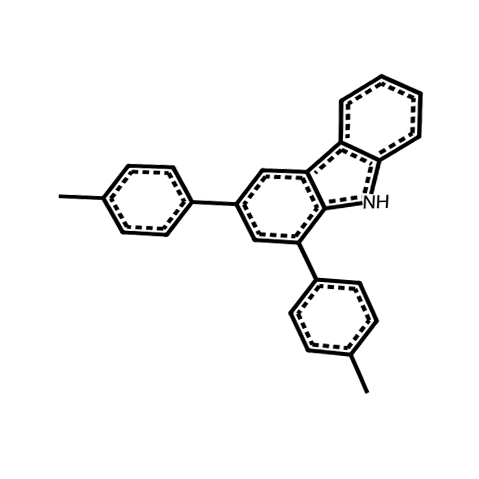 Cc1ccc(-c2cc(-c3ccc(C)cc3)c3[nH]c4ccccc4c3c2)cc1